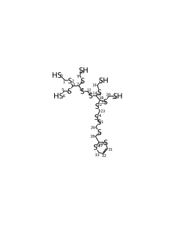 SCSC(SCS)C(SCS)SCSC(SCS)C(SCS)SCSSCSCC1SC=CCS1